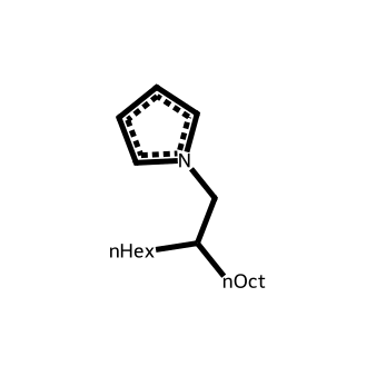 CCCCCCCCC(CCCCCC)Cn1cccc1